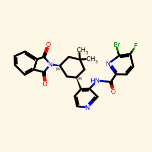 CC1(C)C[C@@H](c2ccncc2NC(=O)c2ccc(F)c(Br)n2)C[C@@H](N2C(=O)c3ccccc3C2=O)C1